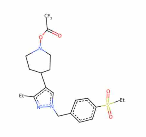 CCc1nn(Cc2ccc(S(=O)(=O)CC)cc2)cc1C1CCN(OC(=O)C(F)(F)F)CC1